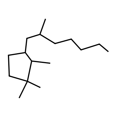 CCCCCC(C)CC1CCC(C)(C)C1C